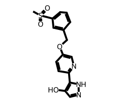 CS(=O)(=O)c1cccc(COc2ccc(-c3[nH]ncc3O)nc2)c1